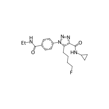 CCNC(=O)c1ccc(-n2nnc(C(=O)NC3CC3)c2CCCCF)cc1